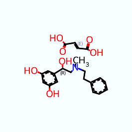 CN(CCc1ccccc1)C[C@H](O)c1cc(O)cc(O)c1.O=C(O)/C=C/C(=O)O